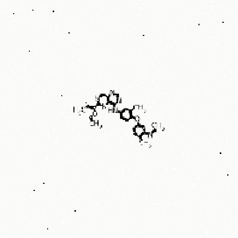 C=CO/C(=C\C)c1ncc2ncnc(Nc3ccc(Oc4ccc(C)c(/N=C\C)c4)c(C)c3)c2n1